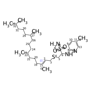 C/C(=C\CSCC(Nc1ccc(C)cn1)S(N)(=O)=O)CCCC(C)CCCC(C)CCCC(C)C